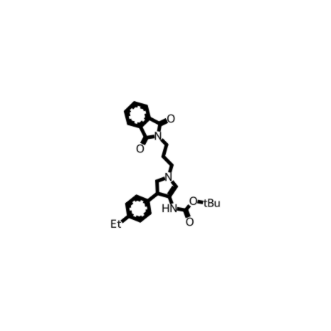 CCc1ccc(C2CN(CCCN3C(=O)c4ccccc4C3=O)C=C2NC(=O)OC(C)(C)C)cc1